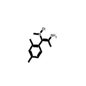 CCN(C)/C(=C(/C)N)c1ccc(C)cc1C